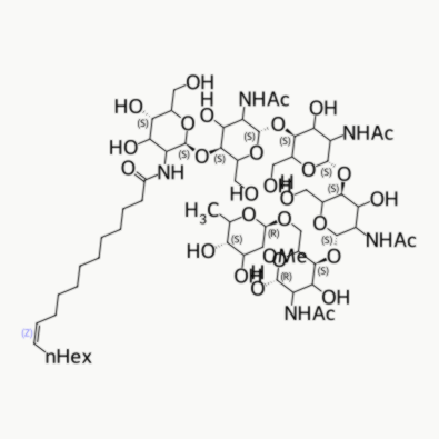 CCCCCC/C=C\CCCCCCCCCC(=O)NC1C(O)[C@H](O)C(CO)O[C@H]1O[C@@H]1C(CO)O[C@@H](O[C@@H]2C(CO)O[C@@H](O[C@@H]3C(CO)O[C@@H](O[C@@H]4C(CO[C@@H]5OC(C)[C@@H](O)C(O)C5OC)O[C@@H](O)C(NC(C)=O)C4O)C(NC(C)=O)C3O)C(NC(C)=O)C2O)C(NC(C)=O)C1O